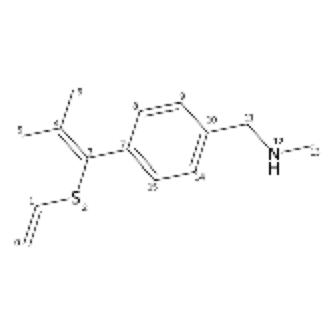 C=CSC(=C(C)C)c1ccc(CNC)cc1